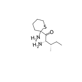 CC[C@H](C)[C@H](N)C(=O)C1(N)CCCCS1